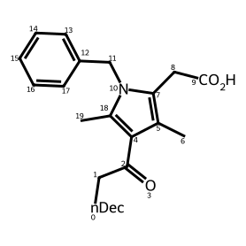 CCCCCCCCCCCC(=O)c1c(C)c(CC(=O)O)n(Cc2ccccc2)c1C